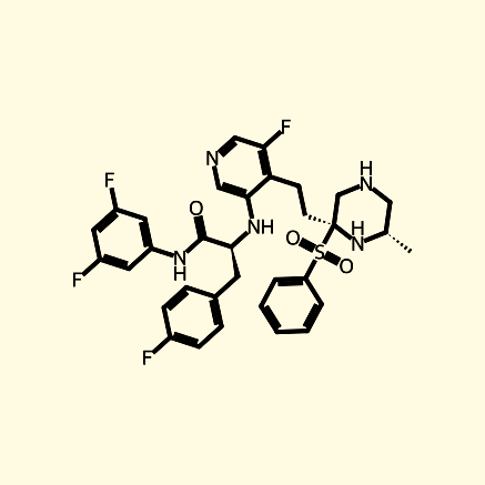 C[C@H]1CNC[C@](CCc2c(F)cncc2N[C@@H](Cc2ccc(F)cc2)C(=O)Nc2cc(F)cc(F)c2)(S(=O)(=O)c2ccccc2)N1